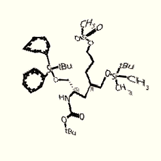 CC(C)(C)OC(=O)N[C@H](CO[Si](c1ccccc1)(c1ccccc1)C(C)(C)C)C[C@@H](CCCOS(C)(=O)=O)CO[Si](C)(C)C(C)(C)C